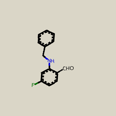 O=Cc1ccc(F)cc1NCc1ccccc1